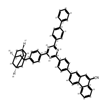 N#Cc1cc2cc(-c3ccc(-c4nc(-c5ccc(-c6ccccc6)cc5)nc(-c5ccc(C67C[C@H]8C[C@H](C6)C[C@@H](C7)C8)cc5)n4)cc3)ccc2c2ccccc12